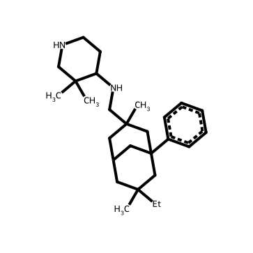 CCC1(C)CC2CC(C)(CNC3CCNCC3(C)C)CC(c3ccccc3)(C2)C1